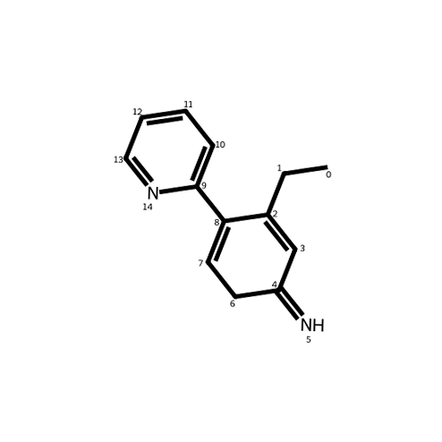 CCC1=CC(=N)CC=C1c1ccccn1